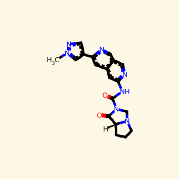 Cn1cc(-c2cc3cc(NC(=O)N4CN5CCC[C@@H]5C4=O)ncc3cn2)cn1